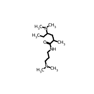 CCC(CC(C)C(=O)NCCCN(C)C)N(C)C